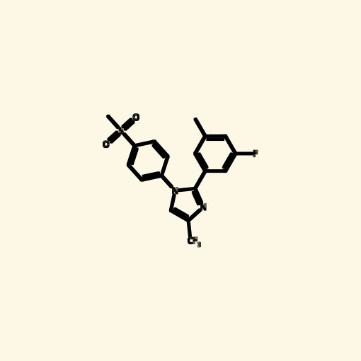 Cc1cc(F)cc(-c2nc(C(F)(F)F)cn2-c2ccc(S(C)(=O)=O)cc2)c1